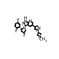 CN1CC(n2cc(-c3cnc4[nH]nc(N5C[C@@H](F)C[C@@H]5c5cc(F)ccc5F)c4c3)cn2)C1